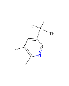 CCC(C)(CC)c1cnc(C)c(C)c1